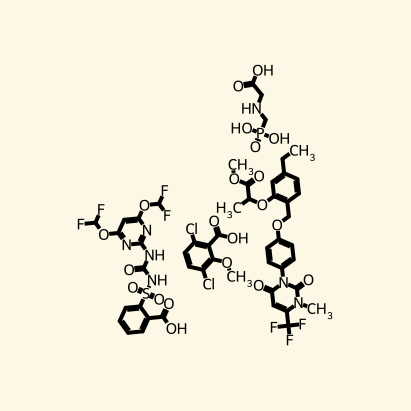 CCc1ccc(COc2ccc(-n3c(=O)cc(C(F)(F)F)n(C)c3=O)cc2)c(OC(C)C(=O)OC)c1.COc1c(Cl)ccc(Cl)c1C(=O)O.O=C(Nc1nc(OC(F)F)cc(OC(F)F)n1)NS(=O)(=O)c1ccccc1C(=O)O.O=C(O)CNCP(=O)(O)O